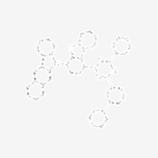 c1ccc(-c2cccc(-c3nc(-c4ccccc4)nc(-c4ccc(-n5c6ccccc6c6cc7ccccc7cc65)c5sc6ccccc6c45)n3)c2)cc1